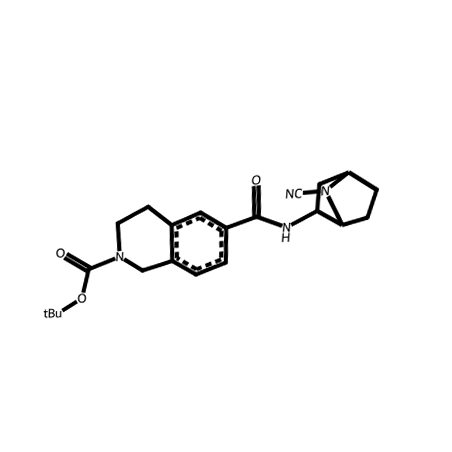 CC(C)(C)OC(=O)N1CCc2cc(C(=O)NC3CC4CCC3N4C#N)ccc2C1